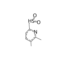 Cc1ccc(C[SH](=O)=O)nc1C